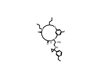 CCCC1CCN(CCC)C(=O)CCCC(=O)N[C@H]([C@H](O)CNC2(c3cccc(CC)c3)CC2)Cc2cc(F)cc(c2)OC1